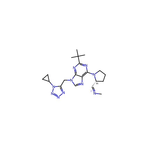 C/N=C\[C@H]1CCCN1c1nc(C(C)(C)C)nc2c1ncn2Cc1nnnn1C1CC1